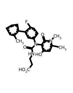 Cc1ccccc1-c1cc(N(C(=O)NCCC(=O)O)c2c(O)cc(C)n(C)c2=O)ccc1F